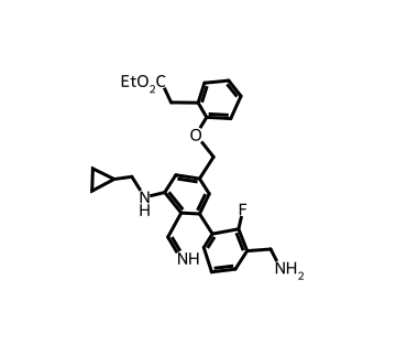 CCOC(=O)Cc1ccccc1OCc1cc(NCC2CC2)c(C=N)c(-c2cccc(CN)c2F)c1